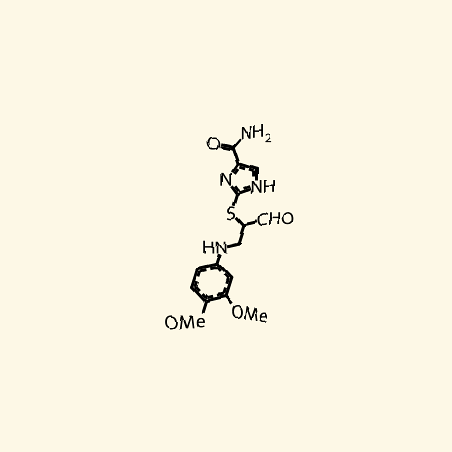 COc1ccc(NCC(C=O)Sc2nc(C(N)=O)c[nH]2)cc1OC